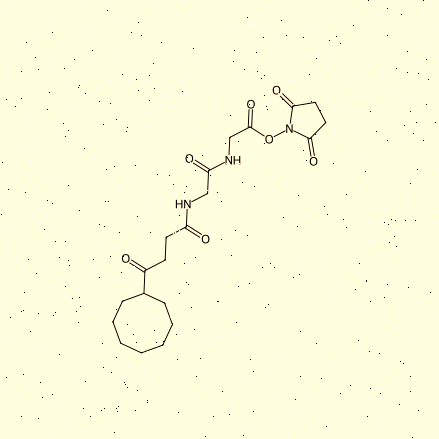 O=C(CCC(=O)C1CCCCCCC1)NCC(=O)NCC(=O)ON1C(=O)CCC1=O